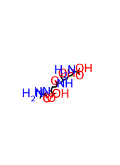 CC(N)C(=O)NC(CCC(=O)NC(CO)CCCC(N)C(=O)O)C(=O)O